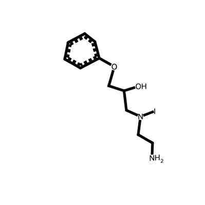 NCCN(I)CC(O)COc1ccccc1